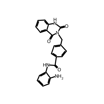 Nc1ccccc1NC(=O)c1ccc(Cn2c(=O)[nH]c3ccccc3c2=O)cc1